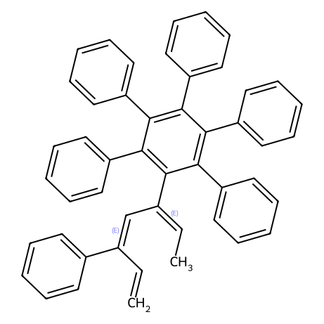 C=C/C(=C\C(=C/C)c1c(-c2ccccc2)c(-c2ccccc2)c(-c2ccccc2)c(-c2ccccc2)c1-c1ccccc1)c1ccccc1